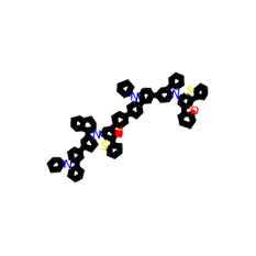 c1ccc(-n2c3ccccc3c3cc(-c4ccc5c(c4)c4c6ccccc6ccc4n5-c4cc5c6ccc(-c7ccc8c9cc(-c%10ccc%11c(c%10)c%10ccccc%10n%11-c%10cc%11c%12ccccc%12oc%11c%11c%10sc%10ccccc%10%11)ccc9n(-c9ccccc9)c8c7)cc6oc5c5c4sc4ccccc45)ccc32)cc1